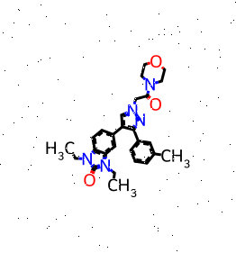 CCn1c(=O)n(CC)c2cc(-c3cn(CC(=O)N4CCOCC4)nc3-c3cccc(C)c3)ccc21